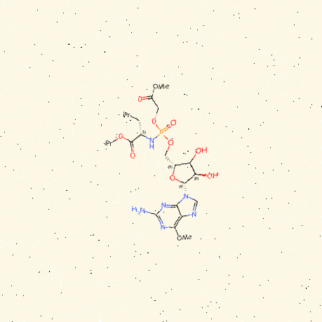 COC(=O)COP(=O)(N[C@@H](CC(C)C)C(=O)OC(C)C)OC[C@H]1O[C@@H](n2cnc3c(OC)nc(N)nc32)[C@H](O)C1O